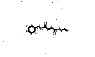 C=CCOC(=O)C=CC(=O)OCc1ccccc1